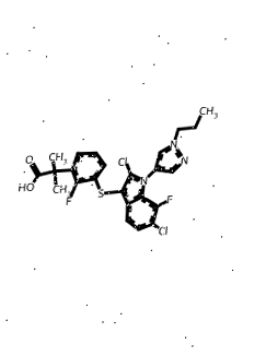 CCCn1cc(-n2c(Cl)c(Sc3cccc(C(C)(C)C(=O)O)c3F)c3ccc(Cl)c(F)c32)cn1